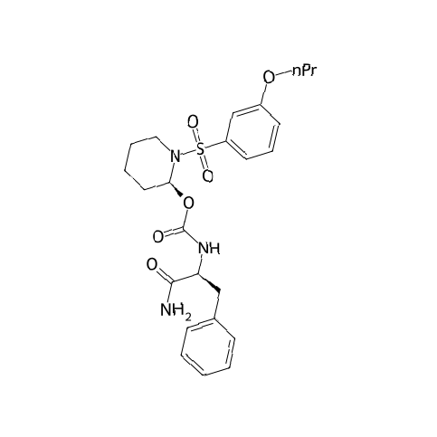 CCCOc1cccc(S(=O)(=O)N2CCCC[C@@H]2OC(=O)N[C@@H](Cc2ccccc2)C(N)=O)c1